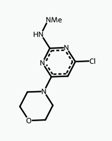 CNNc1nc(Cl)cc(N2CCOCC2)n1